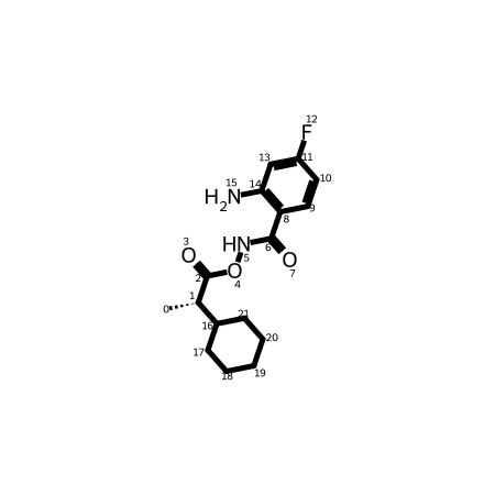 C[C@H](C(=O)ONC(=O)c1ccc(F)cc1N)C1CCCCC1